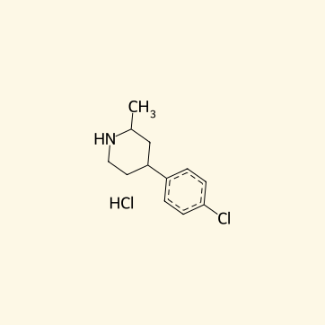 CC1CC(c2ccc(Cl)cc2)CCN1.Cl